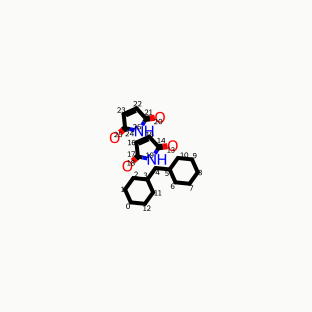 C1CCC(CC2CCCCC2)CC1.O=C1C=CC(=O)N1.O=C1C=CC(=O)N1